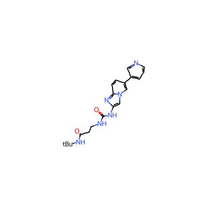 CC(C)(C)NC(=O)CCNC(=O)Nc1cn2cc(-c3cccnc3)ccc2n1